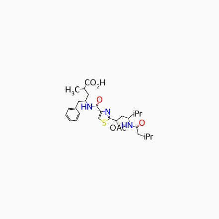 CC(=O)OC(CC(NC(=O)CC(C)C)C(C)C)c1nc(C(=O)NC(Cc2ccccc2)CC(C)C(=O)O)cs1